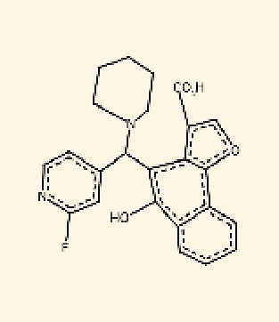 O=C(O)c1coc2c1c(C(c1ccnc(F)c1)N1CCCCC1)c(O)c1ccccc12